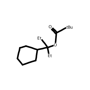 CCC(CC)(OC(=O)C(C)(C)C)C1CCCCC1